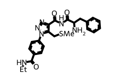 CCNC(=O)c1ccc(-n2nnc(C(=O)NC(=O)C(N)Cc3ccccc3)c2CSC)cc1